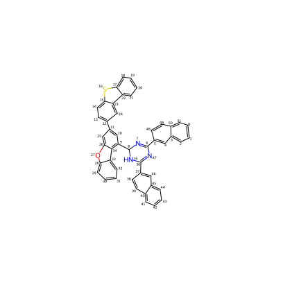 c1ccc2cc(C3=NC(c4cc(-c5ccc6sc7ccccc7c6c5)cc5oc6ccccc6c45)NC(c4ccc5ccccc5c4)=N3)ccc2c1